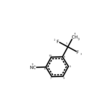 CC(F)(F)c1cccc(C#N)c1